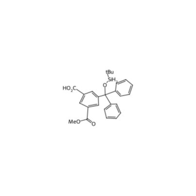 COC(=O)c1cc(C(=O)O)cc(C(O[SiH2]C(C)(C)C)(c2ccccc2)c2ccccc2)c1